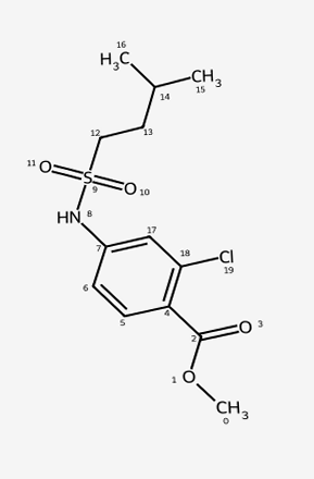 COC(=O)c1ccc(NS(=O)(=O)CCC(C)C)cc1Cl